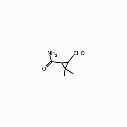 CC1(C)C(C=O)C1C(N)=O